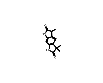 CC1C(=O)Nc2cc3c(cc21)C(C)(C)C(=O)N3